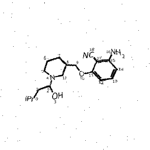 CC(C)CC(O)N1CCCC(COc2cccc(N)c2C#N)C1